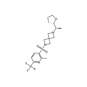 Cc1nc(C(F)(F)F)ccc1S(=O)(=O)N1CC2(CN([C@H](C)[C@@H]3CCCO3)C2)C1